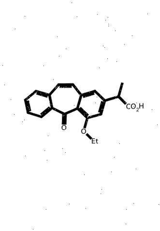 CCOc1cc(C(C)C(=O)O)cc2ccc3ccccc3c(=O)c12